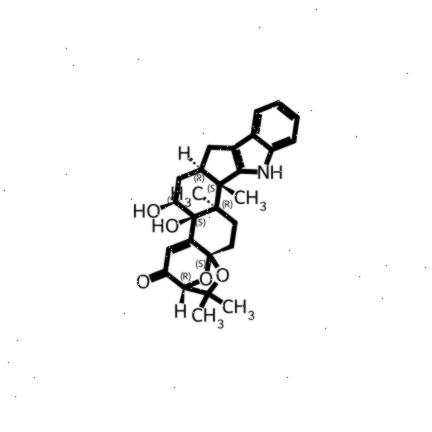 CC1(C)O[C@@]23CC[C@]4(C)[C@@]5(C)c6[nH]c7ccccc7c6C[C@@H]5C[C@H](O)[C@@]4(O)C2=CC(=O)[C@@H]1O3